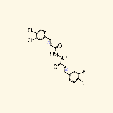 O=C(/C=C/c1ccc(F)c(F)c1)NNC(=O)/C=C/c1ccc(Cl)c(Cl)c1